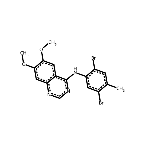 COc1cc2ncnc(Nc3cc(Br)c(C)cc3Br)c2cc1OC